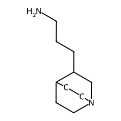 NCCCC1CN2CCC1CC2